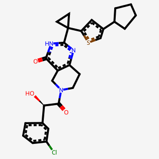 O=C([C@H](O)c1cccc(Cl)c1)N1CCc2nc(C3(c4cc(C5CCCC5)cs4)CC3)[nH]c(=O)c2C1